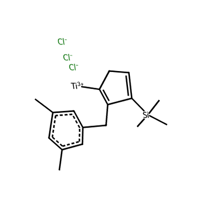 Cc1cc(C)cc(CC2=[C]([Ti+3])CC=C2[Si](C)(C)C)c1.[Cl-].[Cl-].[Cl-]